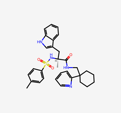 Cc1ccc(S(=O)(=O)N[C@@](C)(Cc2c[nH]c3ccccc23)C(=O)NCC2(c3ccccn3)CCCCC2)cc1